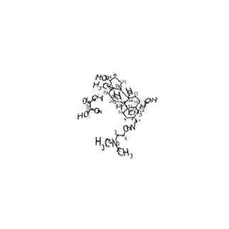 CN(C)CCO/N=C\[C@H]1CC[C@@]2(C)[C@H](C1)[C@@H](O)C[C@@H]1[C@@H]2CC[C@]2(C)[C@@H](O)CC[C@@H]12.O=C(O)C(=O)O